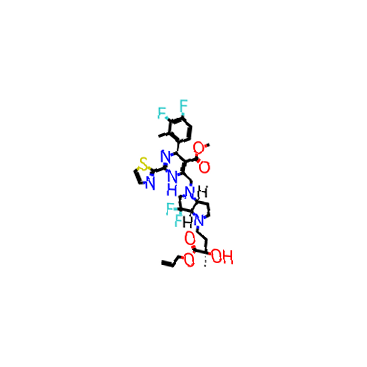 C=CCOC(=O)[C@](C)(O)CCN1CC[C@H]2[C@@H]1C(F)(F)CN2CC1=C(C(=O)OC)[C@H](c2ccc(F)c(F)c2C)N=C(c2nccs2)N1